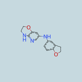 c1cc2c(cc1Nc1cnc3c(c1)OCCN3)CCO2